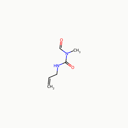 C=CCNC(=O)N(C)C=O